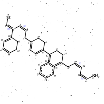 CC/C=C(\C=C/CC1=CC=C(C2=c3ccccc3=C(C/C=C\C=C/N)CC2)CC1)C1=CC=CCC1